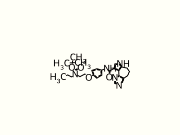 CCCN(CCOc1ccc(NC(=O)c2c[nH]c3c2-c2ncncc2CCC3)cc1)C(=O)OC(C)(C)C